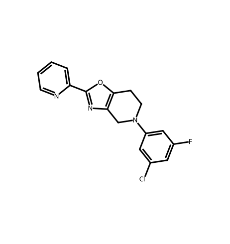 Fc1cc(Cl)cc(N2CCc3oc(-c4ccccn4)nc3C2)c1